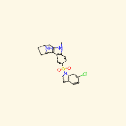 Cn1c2c(c3cc(S(=O)(=O)n4ccc5ccc(Cl)cc54)ccc31)C1CCC(C2)N1